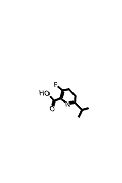 CC(C)C1=NC(C(=O)O)=C(F)CC1